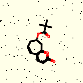 CC(C)(C)C(=O)O[C@@H]1CC=Cc2ccc(=O)oc2C1